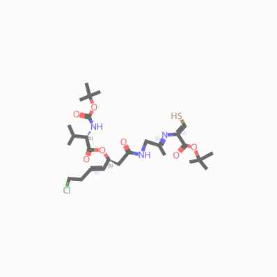 C/C(CNC(=O)C[C@@H](/C=C/CCCl)OC(=O)[C@@H](NC(=O)OC(C)(C)C)C(C)C)=N\C(=C/S)C(=O)OC(C)(C)C